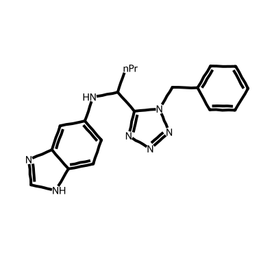 CCCC(Nc1ccc2[nH]cnc2c1)c1nnnn1Cc1ccccc1